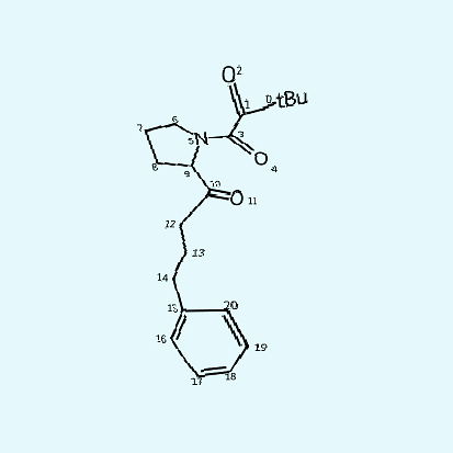 CC(C)(C)C(=O)C(=O)N1CCCC1C(=O)CCCc1ccccc1